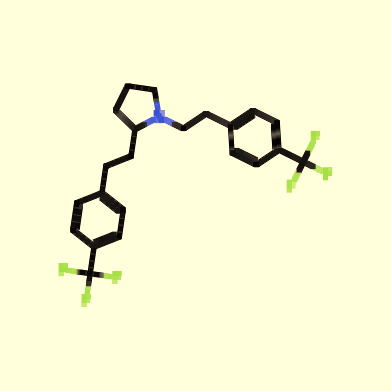 FC(F)(F)c1ccc(CCC2CCCN2CCc2ccc(C(F)(F)F)cc2)cc1